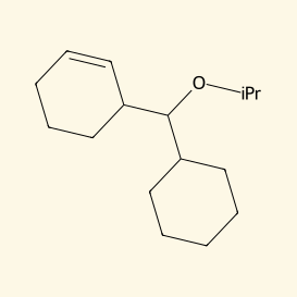 CC(C)OC(C1C=CCCC1)C1CCCCC1